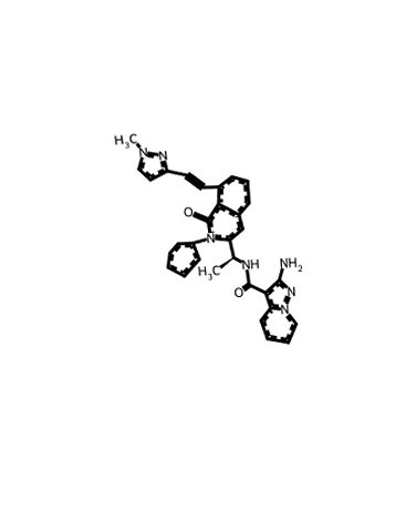 C[C@H](NC(=O)c1c(N)nn2ccccc12)c1cc2cccc(C#Cc3ccn(C)n3)c2c(=O)n1-c1ccccc1